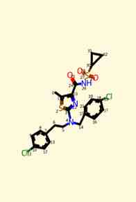 Cc1sc(N(CCc2ccc(Cl)cc2)Cc2ccc(Cl)cc2)nc1C(=O)NS(=O)(=O)C1CC1